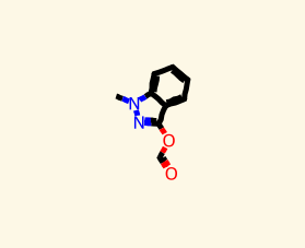 Cn1nc(OC=O)c2ccccc21